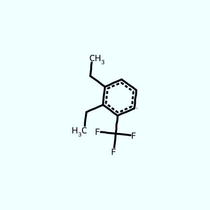 CCc1cc[c]c(C(F)(F)F)c1CC